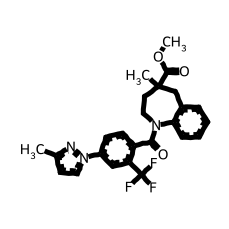 COC(=O)C1(C)CCN(C(=O)c2ccc(-n3ccc(C)n3)cc2C(F)(F)F)c2ccccc2C1